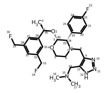 C[C@@H](O[C@H]1OCCN(Cc2nn[nH]c2CN(C)C)[C@H]1c1ccc(F)cc1)c1cc(CF)cc(CF)c1